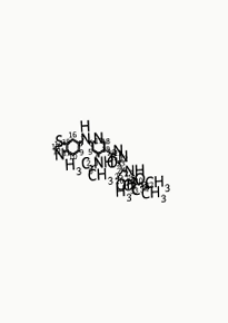 CC(C)Nc1cc(Nc2ccc3ncsc3c2)ncc1-c1nnc(C(CO)NC(=O)OC(C)(C)C)o1